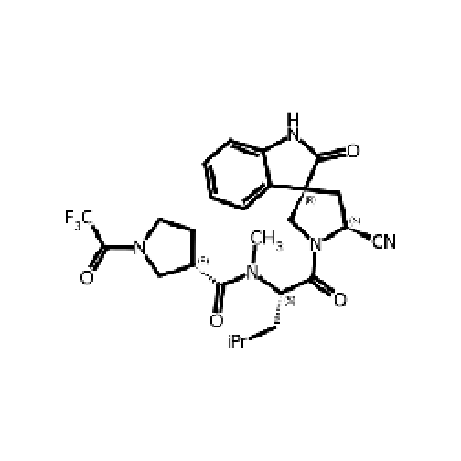 CC(C)C[C@@H](C(=O)N1C[C@]2(C[C@H]1C#N)C(=O)Nc1ccccc12)N(C)C(=O)[C@H]1CCN(C(=O)C(F)(F)F)C1